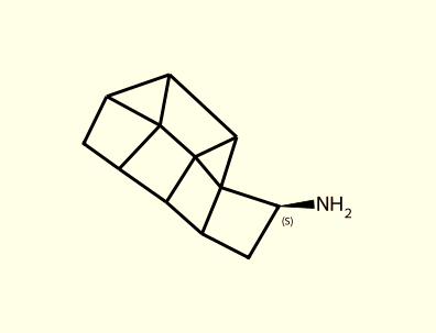 N[C@H]1CC2C3C4CC5C6C7C21C37C546